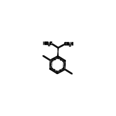 Cc1ccc(C)c(C(C(=O)O)C(=O)O)c1